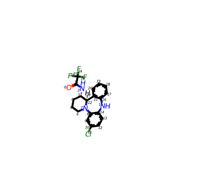 O=C(N[C@H]1CCCN2c3cc(Cl)ccc3Nc3ccccc3[C@H]12)C(F)(F)F